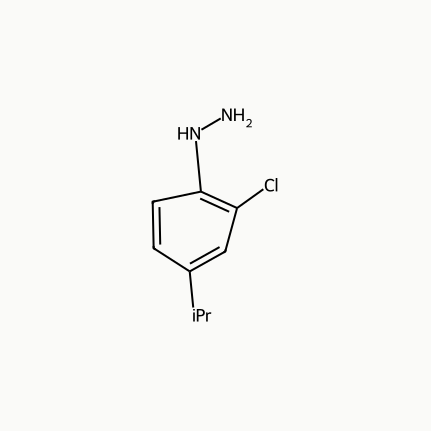 CC(C)c1ccc(NN)c(Cl)c1